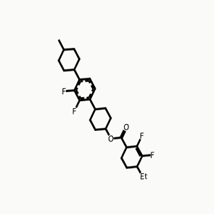 CCC1CCC(C(=O)OC2CCC(c3ccc(C4CCC(C)CC4)c(F)c3F)CC2)C(F)=C1F